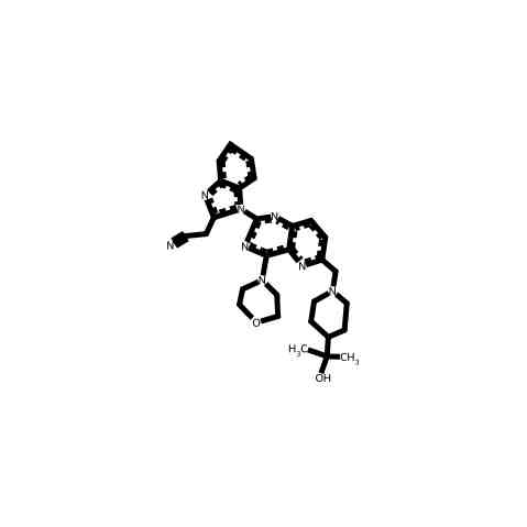 CC(C)(O)C1CCN(Cc2ccc3nc(-n4c(CC#N)nc5ccccc54)nc(N4CCOCC4)c3n2)CC1